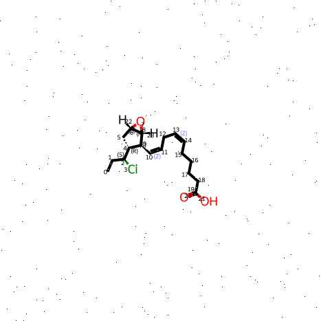 CC[C@H](Cl)[C@@H]1C[C@@H]2O[C@@H]2[C@H]1/C=C\C/C=C\CCCCC(=O)O